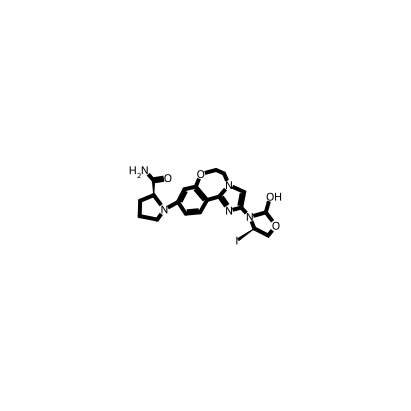 NC(=O)[C@@H]1CCCN1c1ccc2c(c1)OCCn1cc(N3C(O)OC[C@H]3I)nc1-2